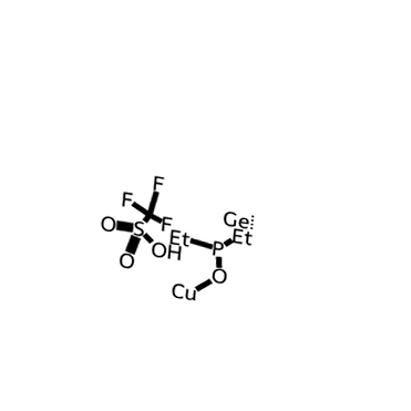 CCP(CC)[O][Cu].O=S(=O)(O)C(F)(F)F.[Ge]